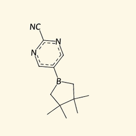 CC1(C)CB(c2cnc(C#N)nc2)CC1(C)C